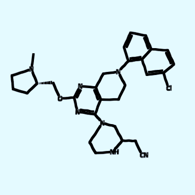 CN1CCC[C@H]1COc1nc2c(c(N3CCNC(CC#N)C3)n1)CCN(c1cccc3ccc(Cl)cc13)C2